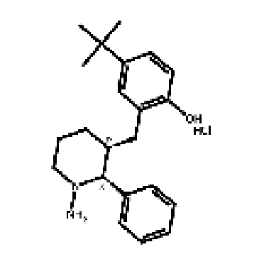 CC(C)(C)c1ccc(O)c(C[C@@H]2CCCN(N)[C@@H]2c2ccccc2)c1.Cl